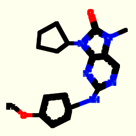 CC(C)Oc1ccc(Nc2ncc3c(n2)n(C2CCCC2)c(=O)n3C)cc1